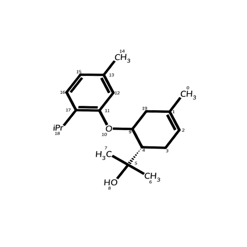 CC1=CC[C@H](C(C)(C)O)C(Oc2cc(C)ccc2C(C)C)C1